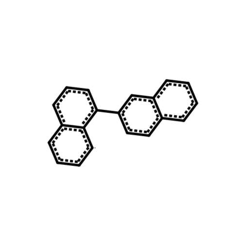 [c]1cccc2cccc(-c3ccc4ccccc4c3)c12